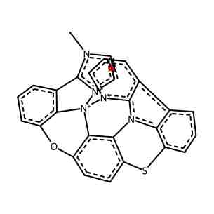 Cn1c2[n+](c3ncncc31)[N+]13c4c(cccc4-2)Oc2ccc4c(c21)-n1c2c(cccc2c2ccc[n+]3c21)S4